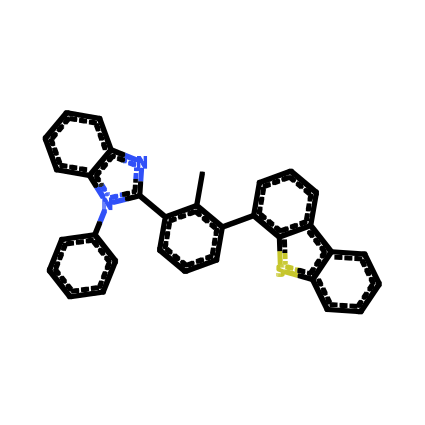 Cc1c(-c2cccc3c2sc2ccccc23)cccc1-c1nc2ccccc2n1-c1ccccc1